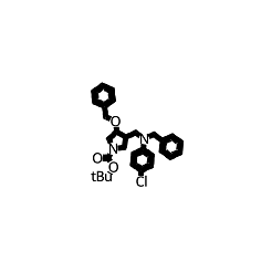 CC(C)(C)OC(=O)N1CC(CN(Cc2ccccc2)c2ccc(Cl)cc2)C(OCc2ccccc2)C1